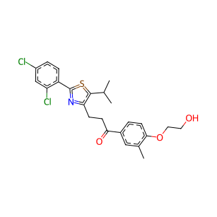 Cc1cc(C(=O)CCc2nc(-c3ccc(Cl)cc3Cl)sc2C(C)C)ccc1OCCO